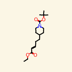 CCOC(=O)/C=C/CCC1CCN(C(=O)OC(C)(C)C)CC1